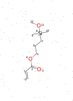 C=CC(=O)OCCC[Si](C)(C)OC